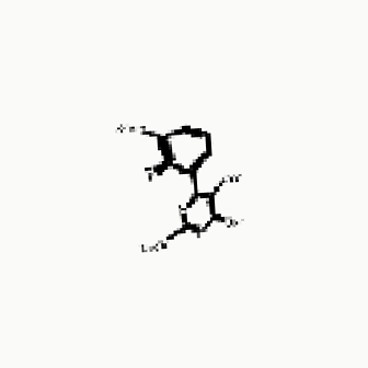 COc1cccc(-c2nc(SC)nc(O)c2C#N)c1F